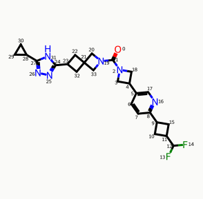 O=C(N1CC(c2ccc(C3CC(C(F)F)C3)nc2)C1)N1CC2(CC(c3nnc(C4CC4)[nH]3)C2)C1